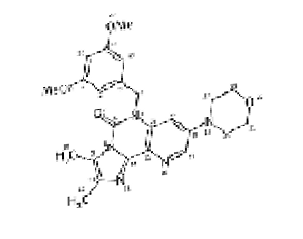 COc1cc(Cn2c(=O)n3c(C)c(C)nc3c3ncc(N4CCOCC4)cc32)cc(OC)c1